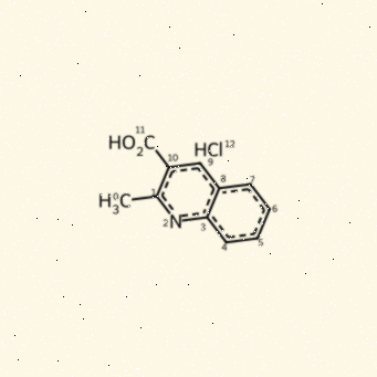 Cc1nc2ccccc2cc1C(=O)O.Cl